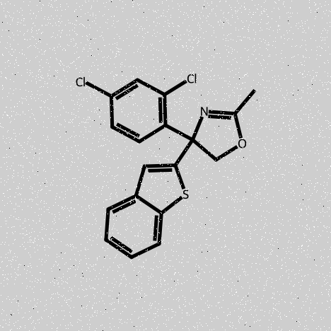 CC1=NC(c2cc3ccccc3s2)(c2ccc(Cl)cc2Cl)CO1